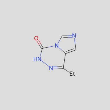 CCc1n[nH]c(=O)n2cncc12